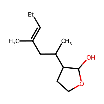 CCC=C(C)CC(C)C1CCOC1O